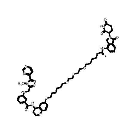 Cn1c(CNc2cccc(C(=O)NC3CCOc4ccc(OCCCCCCOCCOCCOCCCCCC(=O)Nc5cccc6c5CN(C5CCC(=O)NC5=O)C6=O)cc43)c2)nnc1-c1ccncn1